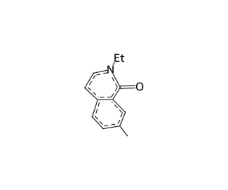 CCn1ccc2ccc(C)cc2c1=O